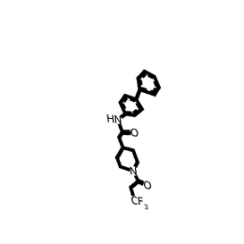 O=C(CC1CCN(C(=O)CC(F)(F)F)CC1)Nc1ccc(-c2ccccc2)cc1